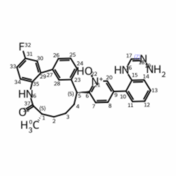 C[C@H]1CCC[C@H](c2ccc(-c3ccccc3N/C=N\N)c[n+]2O)c2cccc(c2)-c2cc(F)ccc2NC1=O